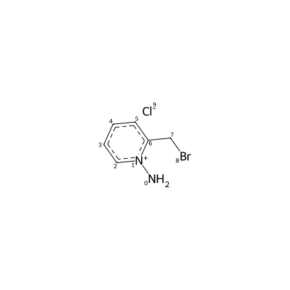 N[n+]1ccccc1CBr.[Cl-]